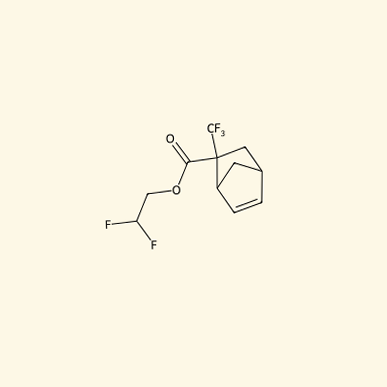 O=C(OCC(F)F)C1(C(F)(F)F)CC2C=CC1C2